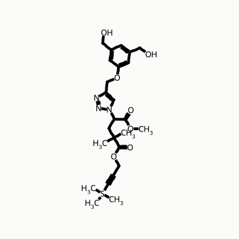 COC(=O)C(CC(C)(C)C(=O)OCC#CS(C)(C)C)n1cc(COc2cc(CO)cc(CO)c2)nn1